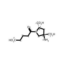 N[C@@]1(C(=O)O)C[C@@H](C(=O)O)N(C(=O)CCCC(=O)O)C1